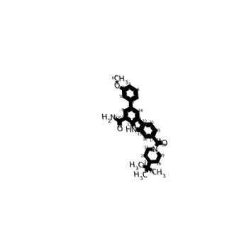 COc1cccc(-c2cc(C(N)=O)c3[nH]c4cc(C(=O)N5CCC(C(C)(C)C)CC5)ccc4c3c2)c1